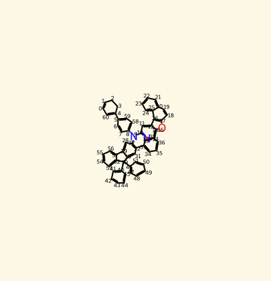 C1=CCCC(c2ccc(N(c3cc4c(cn3)oc3ccc5ccccc5c34)c3cc4c(cc3-c3ccccc3)C(c3ccccc3)(c3ccccc3)c3ccccc3-4)cc2)=C1